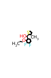 C=CCOc1c(C(O)c2sccc2C)ccc(F)c1F